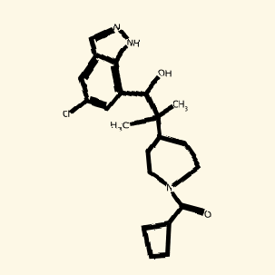 CC(C)(C1CCN(C(=O)C2CCC2)CC1)C(O)c1cc(Cl)cc2cn[nH]c12